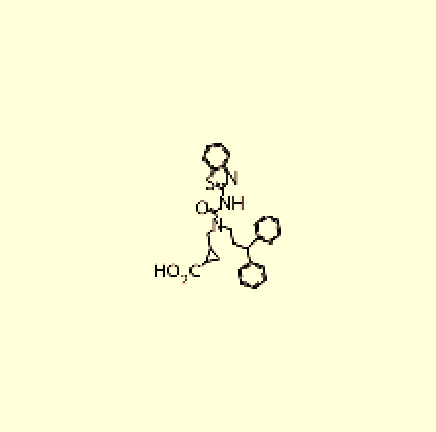 O=C(O)C1CC1CN(CCC(c1ccccc1)c1ccccc1)C(=O)Nc1nc2ccccc2s1